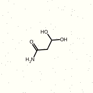 NC(=O)CC(O)O